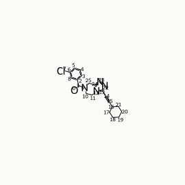 O=C(c1cccc(Cl)c1)N1CCn2c(C#CC3CCCCC3)nnc2C1